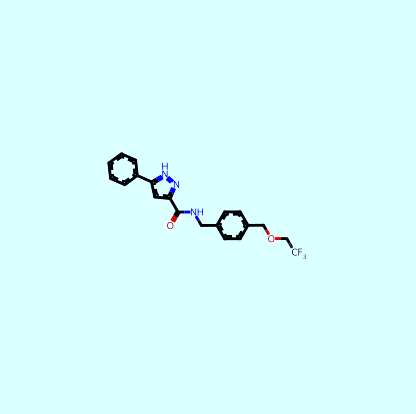 O=C(NCc1ccc(COCC(F)(F)F)cc1)c1cc(-c2ccccc2)[nH]n1